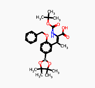 CC(=C(NC(=O)OC(C)(C)C)C(=O)O)c1cc(B2OC(C)(C)C(C)(C)O2)ccc1OCc1ccccc1